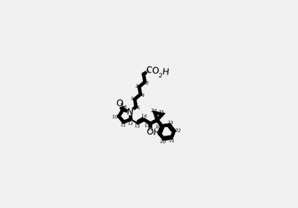 O=C(O)CCCCCCN1C(=O)CC[C@@H]1C=CC(O)C1(c2ccccc2)CC1